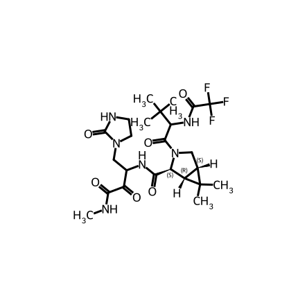 CNC(=O)C(=O)C(CN1CCNC1=O)NC(=O)[C@@H]1[C@@H]2[C@H](CN1C(=O)C(NC(=O)C(F)(F)F)C(C)(C)C)C2(C)C